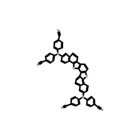 N#Cc1ccc(N(c2ccc(C#N)cc2)c2ccc3c(ccc4c5ccc6oc7c8ccc(N(c9ccc(C#N)cc9)c9ccc(C#N)cc9)cc8ccc7c6c5oc34)c2)cc1